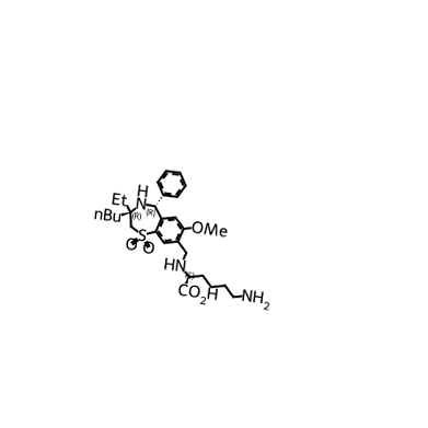 CCCC[C@]1(CC)CS(=O)(=O)c2cc(CN[C@@H](CCCCN)C(=O)O)c(OC)cc2[C@@H](c2ccccc2)N1